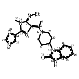 CC/N=C1\C(=C(/C)N2CCC(n3c(=O)[nH]c4ccccc43)CC2)N=C(c2cnco2)N1C